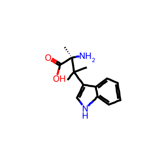 CC(C)(c1c[nH]c2ccccc12)[C@](C)(N)C(=O)O